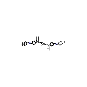 C[n+]1ccc(/C=C/c2ccc(NCCSSCCNc3ccc(/C=C/c4cc[n+](C)cc4)cc3)cc2)cc1